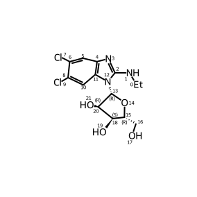 CCNc1nc2cc(Cl)c(Cl)cc2n1[C@@H]1O[C@H](CO)[C@@H](O)[C@H]1O